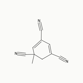 CC1(C#N)C=C(C#N)C=C(C#N)C1